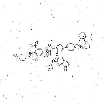 CC(C)c1ccccc1[C@H]1CCC[C@H]1N1CC2(CCN(c3ccc(C(=O)NS(=O)(=O)c4cc5c(c([N+](=O)[O-])c4)N[C@@H]([C@H]4CC[C@](C)(O)CC4)CO5)c(Oc4cc5cc[nH]c5nc4OC4COC4)c3)CC2)C1